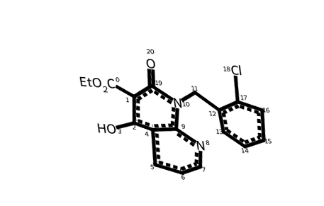 CCOC(=O)c1c(O)c2cccnc2n(Cc2ccccc2Cl)c1=O